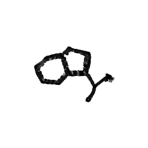 CC(C)C(=O)c1ccn2ccccc12